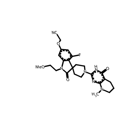 COCCN1C(=O)C2(CCN(c3nc4c(c(=O)[nH]3)CCCN4C)CC2)c2c(F)cc(OCC#N)cc21